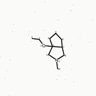 CCOC12CCCC1CN(C)C2